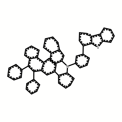 c1ccc(-c2c(-c3ccccc3)c3cc(-c4ccccc4N(c4cccc(-c5cccc6c5sc5ccccc56)c4)c4ccc5ccccc5c4)ccc3c3ccccc23)cc1